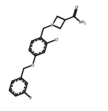 NC(=O)C1CN(Cc2ccc(OCc3cccc(F)c3)cc2Cl)C1